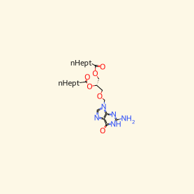 CCCCCCCC(=O)OC[C@H](COCn1cnc2c(=O)[nH]c(N)nc21)OC(=O)CCCCCCC